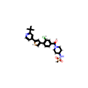 CC(C)(C)c1cc(-c2cc(-c3ccc(C(=O)N4CCC(NS(C)(=O)=O)CC4)cc3Cl)cs2)ccn1